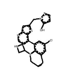 Oc1ccnn1Cc1cc2nccc(-c3cc(Cl)cc4c3N(C3CNC3)CCC4)c2s1